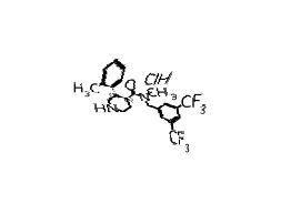 Cc1ccccc1[C@H]1CNCC[C@@H]1C(=O)N(C)Cc1cc(C(F)(F)F)cc(C(F)(F)F)c1.Cl